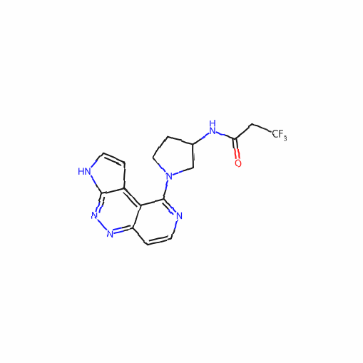 O=C(CC(F)(F)F)NC1CCN(c2nccc3nnc4[nH]ccc4c23)C1